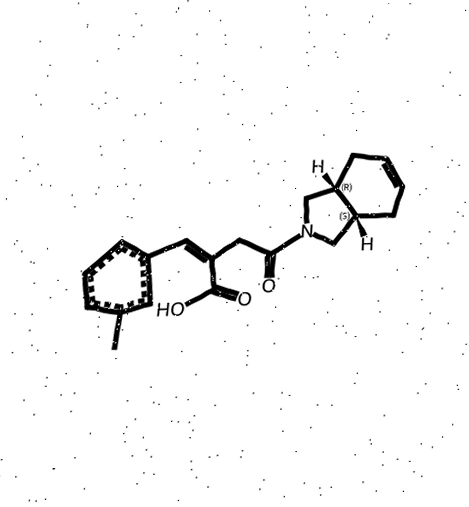 Cc1cccc(C=C(CC(=O)N2C[C@H]3CC=CC[C@H]3C2)C(=O)O)c1